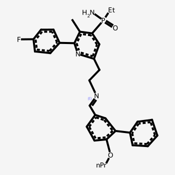 CCCOc1ccc(/C=N/CCc2cc(P(N)(=O)CC)c(C)c(-c3ccc(F)cc3)n2)cc1-c1ccccc1